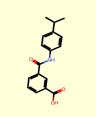 CC(C)c1ccc(NC(=O)c2cccc(C(=O)O)c2)cc1